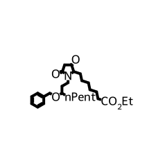 CCCCCC(CCN1C(=O)CC(=O)C1CCCCCCC(=O)OCC)OCc1ccccc1